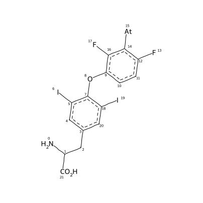 NC(Cc1cc(I)c(Oc2ccc(F)c([At])c2F)c(I)c1)C(=O)O